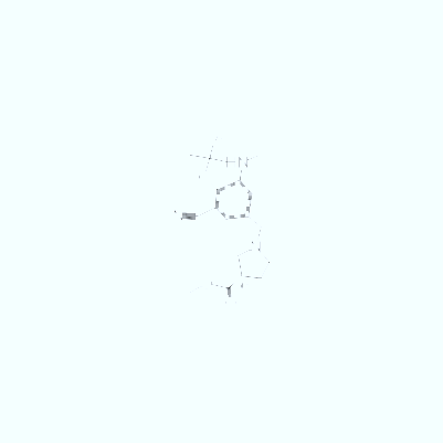 CNc1cc(CN2CC[C@@H](C(=O)OC)C2)cc(C#N)c1OC(C)(C)Br